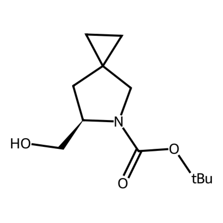 CC(C)(C)OC(=O)N1CC2(CC2)C[C@@H]1CO